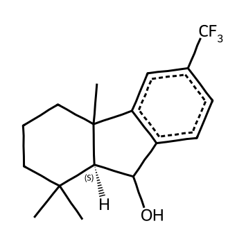 CC1(C)CCCC2(C)c3cc(C(F)(F)F)ccc3C(O)[C@@H]12